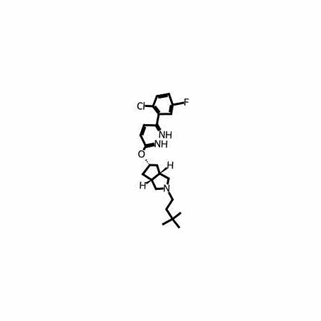 CC(C)(C)CCN1C[C@H]2C[C@@H](OC(=N)/C=C\C(=N)c3cc(F)ccc3Cl)C[C@H]2C1